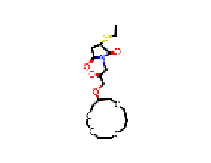 CCSC1CC(=O)N(CC(=O)COC2CCCCCCCCCCCC2)C1=O